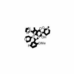 COc1ccc(F)cc1[C@H](CN1c2sc(-n3nccn3)c(C)c2C(=O)N(C2CCCN(C)C2=O)C1O)OC1CCOCC1